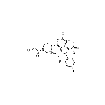 C=CC(=O)N1CCN(c2nc(=O)n3c4c2=CC(c2ccc(F)cc2F)C=4S(=O)(=O)CC3)[C@@H](C)C1